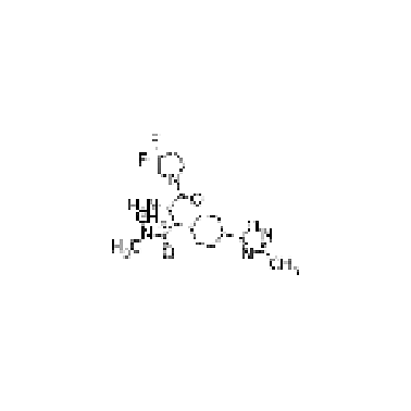 Cc1noc(C2CCC(C(C(=O)N(C)C)C(N)C(=O)N3CCC(F)(F)C3)CC2)n1